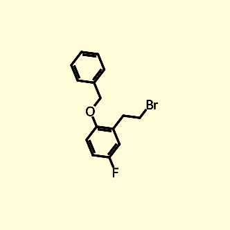 Fc1ccc(OCc2ccccc2)c(CCBr)c1